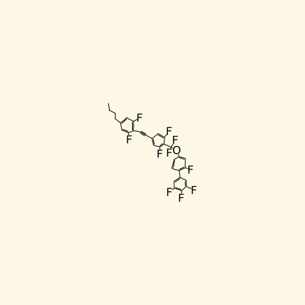 CCCCc1cc(F)c(C#Cc2cc(F)c(C(F)(F)Oc3ccc(-c4cc(F)c(F)c(F)c4)c(F)c3)c(F)c2)c(F)c1